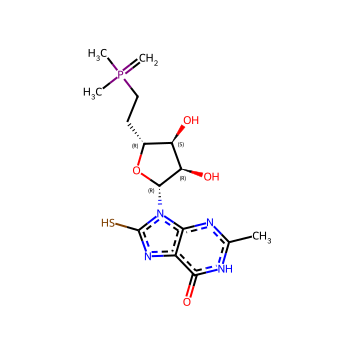 C=P(C)(C)CC[C@H]1O[C@@H](n2c(S)nc3c(=O)[nH]c(C)nc32)[C@H](O)[C@@H]1O